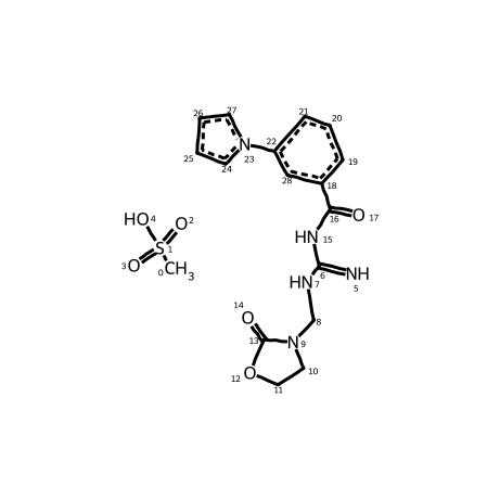 CS(=O)(=O)O.N=C(NCN1CCOC1=O)NC(=O)c1cccc(-n2cccc2)c1